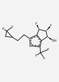 O[C@H]1c2c(C(F)(F)F)nn(CCC3CC3(F)F)c2[C@@H](F)[C@H]1F